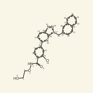 O=C(NOCCO)c1ccc(-c2ccc3nnn(Cc4ccc5ccccc5c4)c3n2)cc1Cl